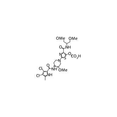 COCC(COC)NC(=O)c1nc(N2CC[C@@H](NC(=O)c3[nH]c(C)c(Cl)c3Cl)[C@@H](OC)C2)sc1OC(=O)O